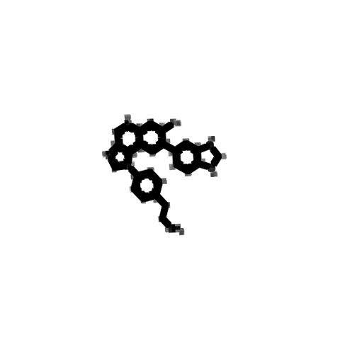 NCCc1ccc(-n2cnc3cnc4cc(F)c(-c5ccc6c(c5)OCO6)cc4c32)cc1